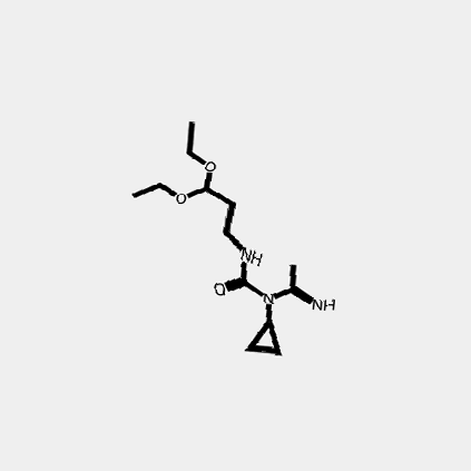 CCOC(CCNC(=O)N(C(C)=N)C1CC1)OCC